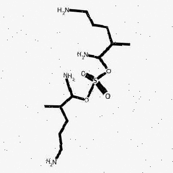 CC(CCCN)C(N)OS(=O)(=O)OC(N)C(C)CCCN